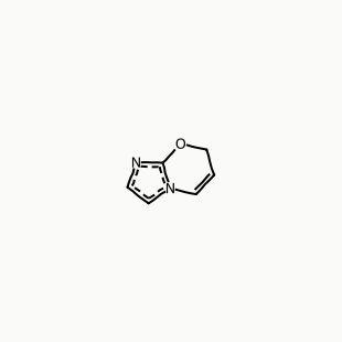 C1=Cn2ccnc2OC1